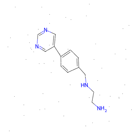 NCCNCc1ccc(-c2cncnc2)cc1